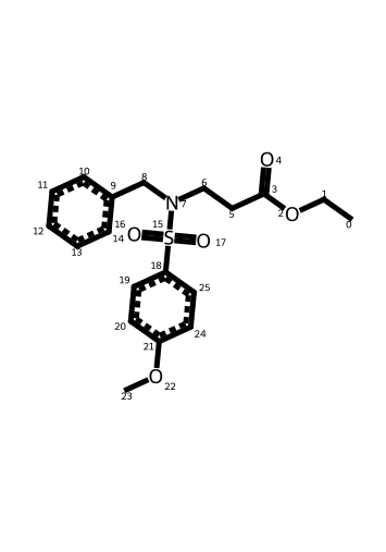 CCOC(=O)CCN(Cc1ccccc1)S(=O)(=O)c1ccc(OC)cc1